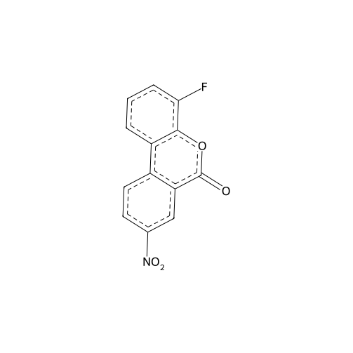 O=c1oc2c(F)cccc2c2ccc([N+](=O)[O-])cc12